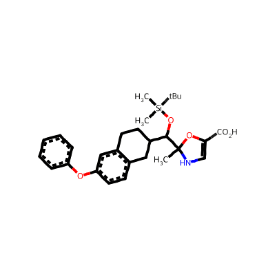 CC1(C(O[Si](C)(C)C(C)(C)C)C2CCc3cc(Oc4ccccc4)ccc3C2)NC=C(C(=O)O)O1